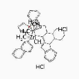 Cl.Cl.[CH2]=[Zr]([C]1=CC=CC1)([c]1ccc2ccccc2c1)([c]1ccc2ccccc2c1)[C]1(C)C2=C3Cc4ccccc4C3C3CCCCC3C2CC(C)C1(C)C